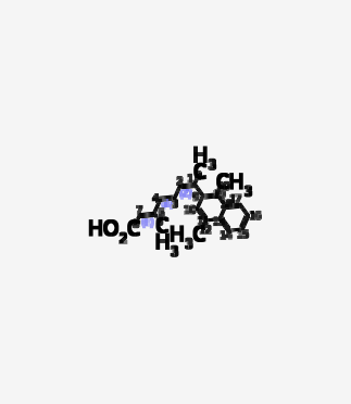 C/C(=C/C=C/C(C)=C/C(=O)O)c1cc(C)c2ccccc2c1C